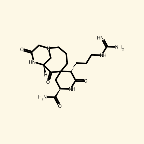 N=C(N)NCCC[C@@H]1C(=O)N[C@@H](C(N)=O)CC12CCCN1CC(=O)N[C@H](C1)C2=O